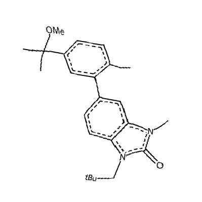 COC(C)(C)c1ccc(C)c(-c2ccc3c(c2)n(C)c(=O)n3CC(C)(C)C)c1